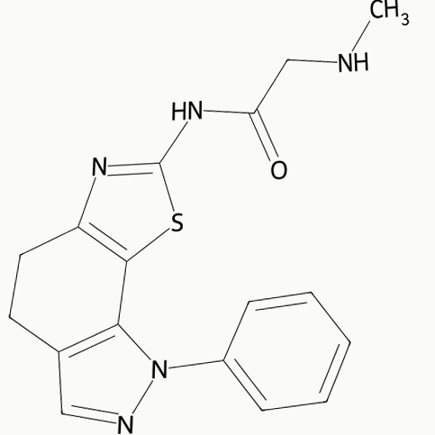 CNCC(=O)Nc1nc2c(s1)-c1c(cnn1-c1ccccc1)CC2